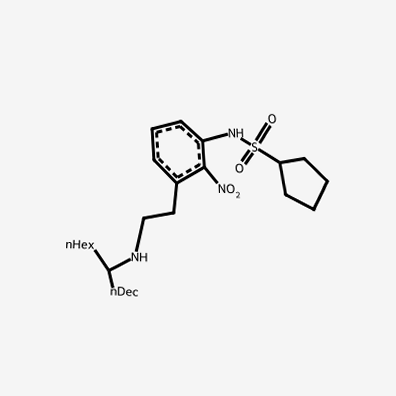 CCCCCCCCCCC(CCCCCC)NCCc1cccc(NS(=O)(=O)C2CCCC2)c1[N+](=O)[O-]